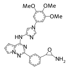 COc1cc(-n2cnc(Nc3nc(-c4cccc(C5OC5N)c4)nn4cccc34)c2)cc(OC)c1OC